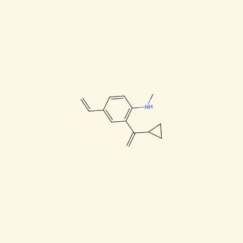 C=Cc1ccc(NC)c(C(=C)C2CC2)c1